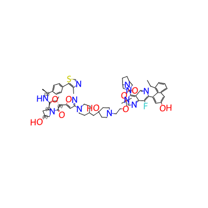 CCc1cccc2cc(O)cc(-c3ncc4c(N5CC6CCC(C5)N6C(=O)OC(C)(C)C)nc(OCCN5CCC(O)(CC6CCN(c7cc([C@H](C(=O)N8C[C@H](O)C[C@H]8C(=O)N[C@@H](C)c8ccc(-c9scnc9C)cc8)C(C)C)on7)CC6)CC5)nc4c3F)c12